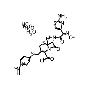 CN[n+]1ccc(SCC2=C(C(=O)Cl)N3C(=O)[C@@H](NC(=O)/C(=N\OC)c4csc(N)n4)[C@H]3SC2)cc1.Cl.O.O.O